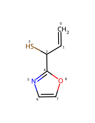 C=CC(S)c1ncco1